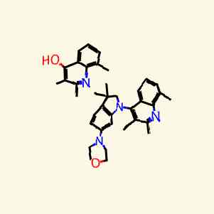 Cc1nc2c(C)cccc2c(N2CC(C)(C)c3ccc(N4CCOCC4)cc32)c1C.Cc1nc2c(C)cccc2c(O)c1C